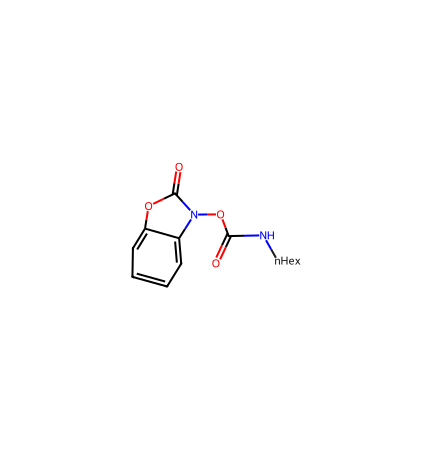 CCCCCCNC(=O)On1c(=O)oc2ccccc21